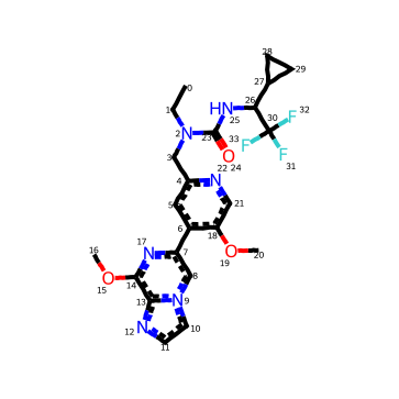 CCN(Cc1cc(-c2cn3ccnc3c(OC)n2)c(OC)cn1)C(=O)NC(C1CC1)C(F)(F)F